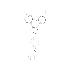 NCC(=O)N1CCN(c2nc3c4ccc(F)cc4c4cnccc4c3s2)CC1